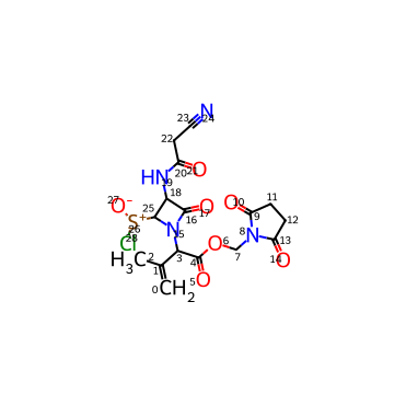 C=C(C)C(C(=O)OCN1C(=O)CCC1=O)N1C(=O)C(NC(=O)CC#N)C1[S+]([O-])Cl